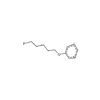 FCCCCCOc1c[c]ccc1